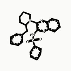 O=S(=O)(Nc1nc2ccccc2nc1N1CCCCC1Cc1ccccc1)c1ccccc1